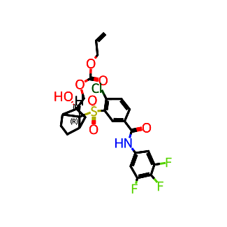 C=CCOC(=O)OC[C@@]1(O)CC2CCC1[C@@H]2S(=O)(=O)c1cc(C(=O)Nc2cc(F)c(F)c(F)c2)ccc1Cl